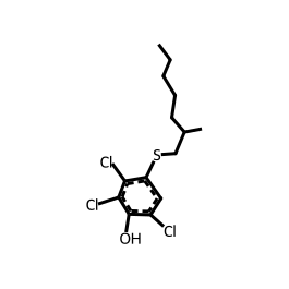 CCCCCC(C)CSc1cc(Cl)c(O)c(Cl)c1Cl